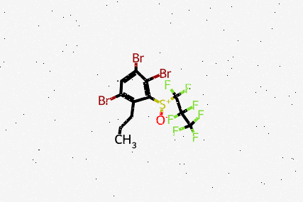 CCCc1c(Br)[c]c(Br)c(Br)c1[S+]([O-])C(F)(F)C(F)(F)C(F)(F)F